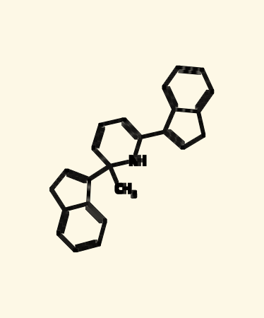 CC1(C2=CCc3ccccc32)C=CC=C(C2=CCc3ccccc32)N1